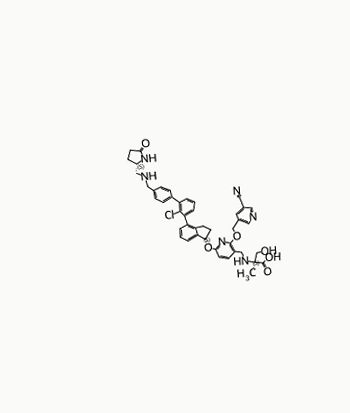 C[C@@](CO)(NCc1ccc(O[C@H]2CCc3c(-c4cccc(-c5ccc(CNC[C@@H]6CCC(=O)N6)cc5)c4Cl)cccc32)nc1OCc1cncc(C#N)c1)C(=O)O